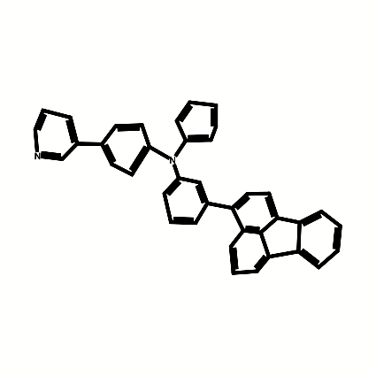 c1ccc(N(c2ccc(-c3cccnc3)cc2)c2cccc(-c3ccc4c5c(cccc35)-c3ccccc3-4)c2)cc1